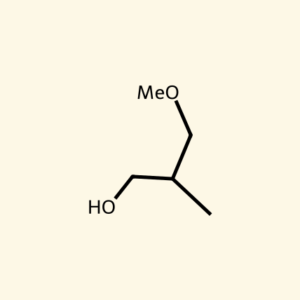 COCC(C)CO